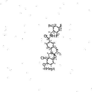 CCCCCCCOc1ccc(F)c(CN2C(=O)C(C)Sc3cc(C(=O)NCc4c(F)cc(F)cc4F)ccc32)c1Cl